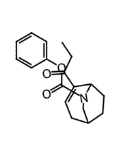 CCC(=O)C1=CCC2CCC1N(C(=O)Oc1ccccc1)C2